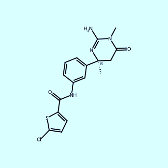 CN1C(=O)C[C@@](C)(c2cccc(NC(=O)c3ccc(Cl)s3)c2)N=C1N